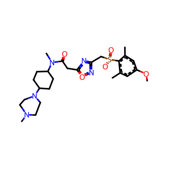 COc1cc(C)c(S(=O)(=O)Cc2noc(CC(=O)N(C)C3CCC(N4CCN(C)CC4)CC3)n2)c(C)c1